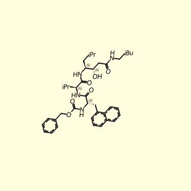 CCC(C)CNC(=O)C[C@H](O)[C@H](CC(C)C)NC(=O)[C@@H](NC(=O)[C@H](Cc1cccc2ccccc12)NC(=O)OCc1ccccc1)C(C)C